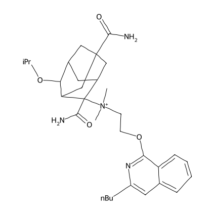 CCCCc1cc2ccccc2c(OCC[N+](C)(C)C2(C(N)=O)C3CC4CC(C(N)=O)(C3)CC2C4OC(C)C)n1